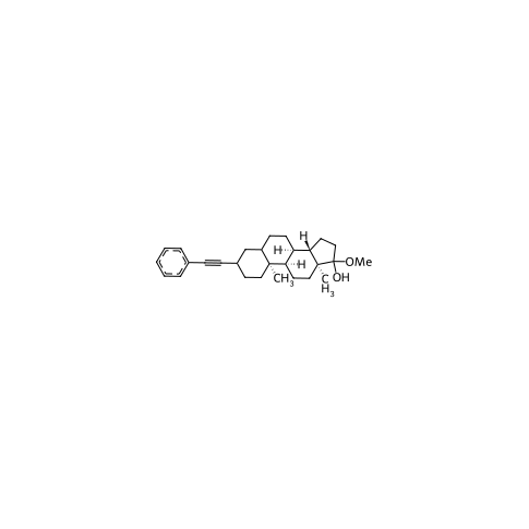 COC1(O)CC[C@H]2[C@@H]3CCC4CC(C#Cc5ccccc5)CC[C@]4(C)[C@@H]3CC[C@@]21C